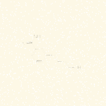 CC=CCOc1cccc(C(N)=O)c1